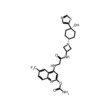 NC(=O)Oc1cc(NCC(=O)NC2CN([C@H]3CC[C@](O)(c4cncs4)CC3)C2)c2cc(C(F)(F)F)ccc2n1